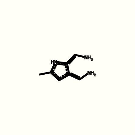 Cc1cc(=C/N)/c(=C\N)[nH]1